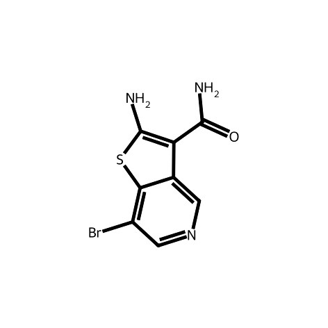 NC(=O)c1c(N)sc2c(Br)cncc12